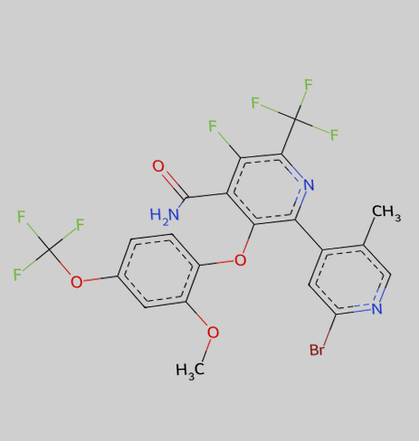 COc1cc(OC(F)(F)F)ccc1Oc1c(-c2cc(Br)ncc2C)nc(C(F)(F)F)c(F)c1C(N)=O